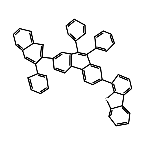 c1ccc(-c2cc3ccccc3cc2-c2ccc3c(c2)c(-c2ccccc2)c(-c2ccccc2)c2cc(-c4cccc5c4sc4ccccc45)ccc23)cc1